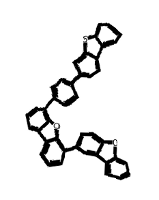 c1ccc2c(c1)oc1ccc(-c3cccc4c3oc3c(-c5ccc(-c6ccc7c(c6)sc6ccccc67)cc5)cccc34)cc12